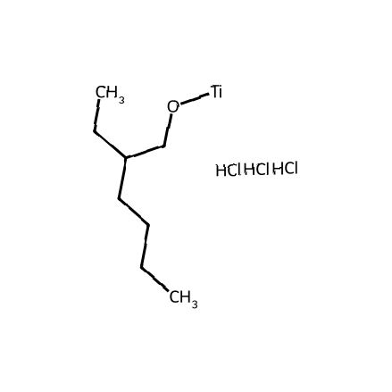 CCCCC(CC)C[O][Ti].Cl.Cl.Cl